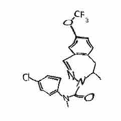 CC1Cc2ccc(OC(F)(F)F)cc2C=NN1C(=O)N(C)c1ccc(Cl)cc1